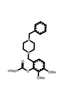 CCCCCCCC(=O)Oc1c(CN2CCN(Cc3ccccc3)CC2)ccc(OC)c1OC